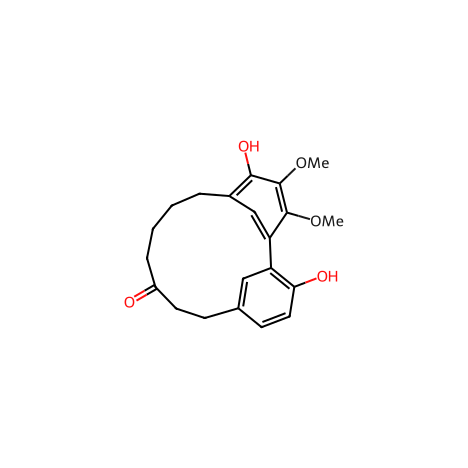 COc1c2cc(c(O)c1OC)CCCCC(=O)CCc1ccc(O)c-2c1